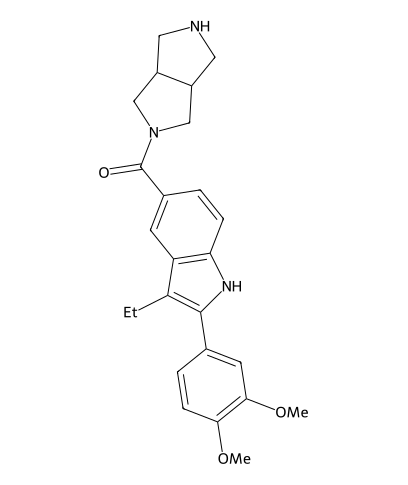 CCc1c(-c2ccc(OC)c(OC)c2)[nH]c2ccc(C(=O)N3CC4CNCC4C3)cc12